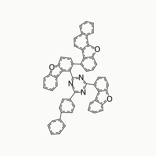 c1ccc(-c2ccc(-c3nc(-c4cccc5oc6ccccc6c45)nc(-c4c(-c5cccc6oc7c8ccccc8ccc7c56)ccc5oc6ccccc6c45)n3)cc2)cc1